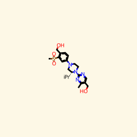 Cc1nc(N2CCN(c3ccc(CO)c(S(C)(=O)=O)c3)C[C@H]2C(C)C)ncc1CO